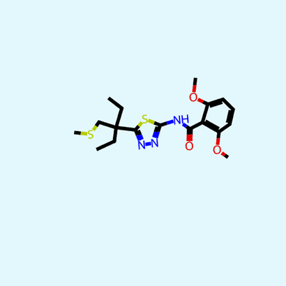 CCC(CC)(CSC)c1nnc(NC(=O)c2c(OC)cccc2OC)s1